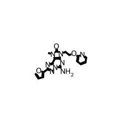 Cn1c(=O)n(CCOc2ccccn2)c2nc(N)n3nc(-c4ccco4)nc3c21